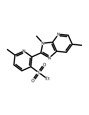 CCS(=O)(=O)c1ccc(C)nc1-c1nc2cc(C)cnc2n1C